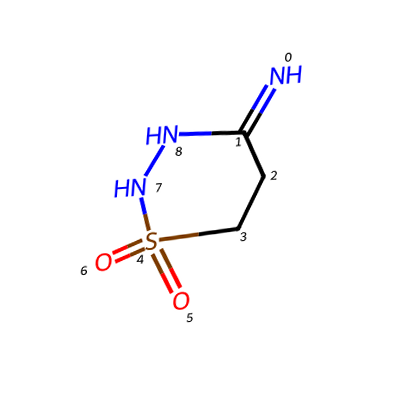 N=C1CCS(=O)(=O)NN1